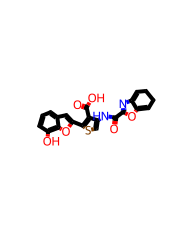 O=C(Nc1csc(-c2cc3cccc(O)c3o2)c1C(=O)O)c1nc2c(o1)=CCCC=2